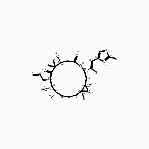 C=CC[C@H]1C(=O)C(C)(C)[C@@H](O)CC(=O)O[C@H](C(C)=Cc2csc(C)n2)C[C@H]2O[C@]2(C)CCC[C@H](C)[C@@H]1O